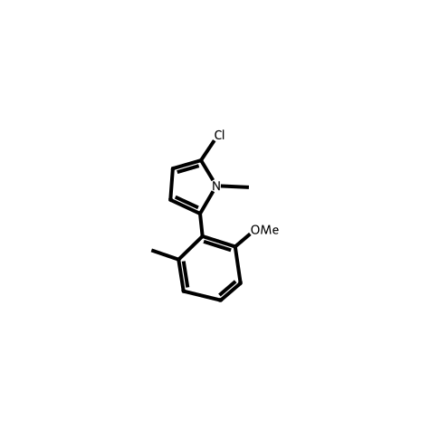 COc1cccc(C)c1-c1ccc(Cl)n1C